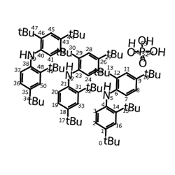 CC(C)(C)c1ccc(Nc2ccc(C(C)(C)C)cc2C(C)(C)C)c(C(C)(C)C)c1.CC(C)(C)c1ccc(Nc2ccc(C(C)(C)C)cc2C(C)(C)C)c(C(C)(C)C)c1.CC(C)(C)c1ccc(Nc2ccc(C(C)(C)C)cc2C(C)(C)C)c(C(C)(C)C)c1.O=P(O)(O)O